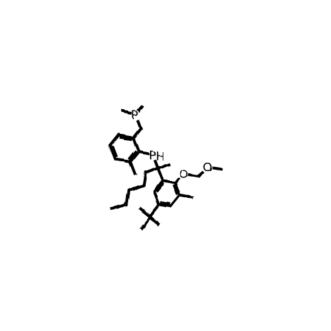 CCCCCC(C)(Pc1c(C)cccc1CP(C)C)c1cc(C(C)(C)C)cc(C)c1OCOC